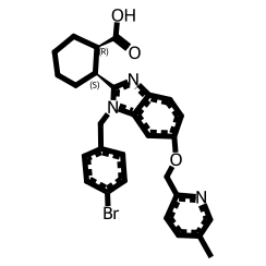 Cc1ccc(COc2ccc3nc([C@H]4CCCC[C@H]4C(=O)O)n(Cc4ccc(Br)cc4)c3c2)nc1